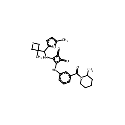 Cc1ccc(C(Nc2c(Nc3cccc(C(=O)N4CCCCC4C)c3)c(=O)c2=O)C2(C)COC2)o1